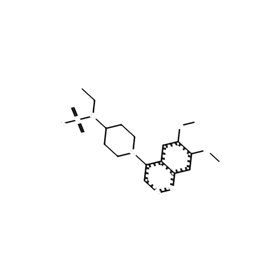 CCN(C1CCN(c2cnnc3cc(OC)c(OC)cc23)CC1)S(N)(=O)=O